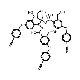 CCCC(C)(OB(O)c1ccc(Oc2ccc(C#N)cc2)cc1CO)B(OB(O)c1ccc(Oc2ccc(C#N)cc2)cc1CO)c1ccc(Oc2ccc(C#N)cc2)cc1CO